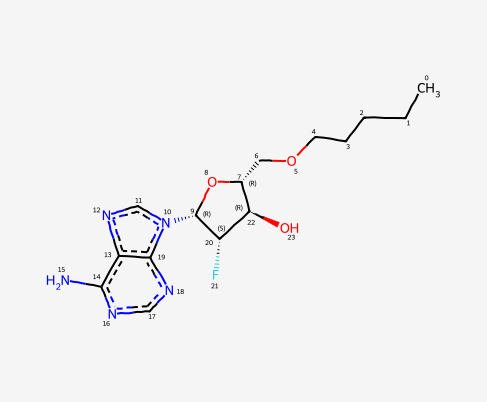 CCCCCOC[C@H]1O[C@@H](n2cnc3c(N)ncnc32)[C@@H](F)[C@@H]1O